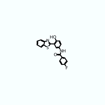 O=C(Nc1ccc(O)c(-c2nc3ccccc3s2)c1)c1ccc(F)cc1